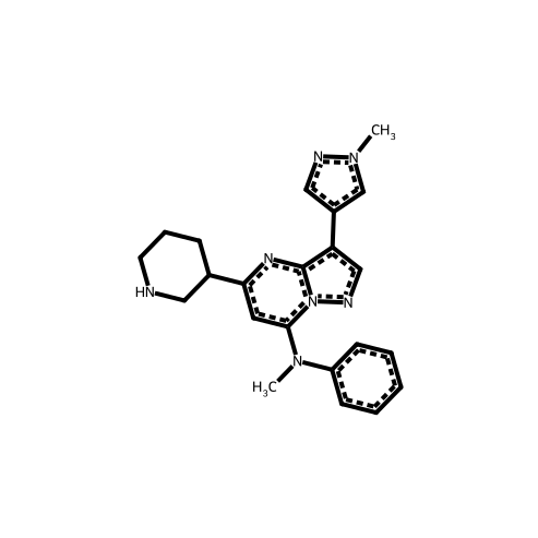 CN(c1ccccc1)c1cc(C2CCCNC2)nc2c(-c3cnn(C)c3)cnn12